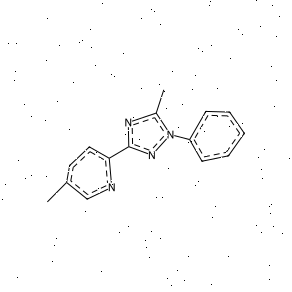 Cc1ccc(-c2nc(C)n(-c3ccccc3)n2)nc1